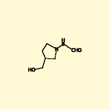 O=CBN1CCC(CO)C1